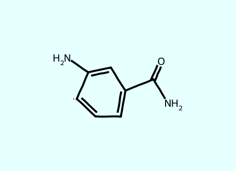 NC(=O)c1cc[c]c(N)c1